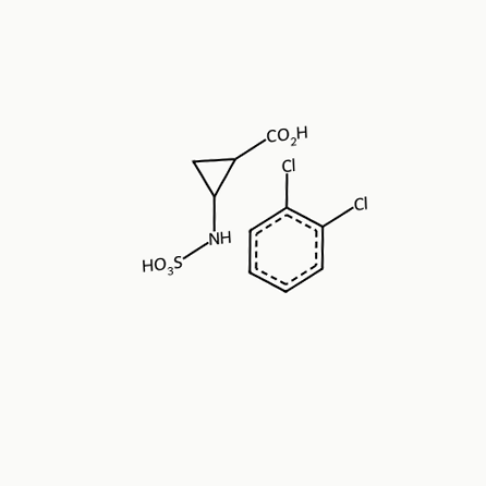 Clc1ccccc1Cl.O=C(O)C1CC1NS(=O)(=O)O